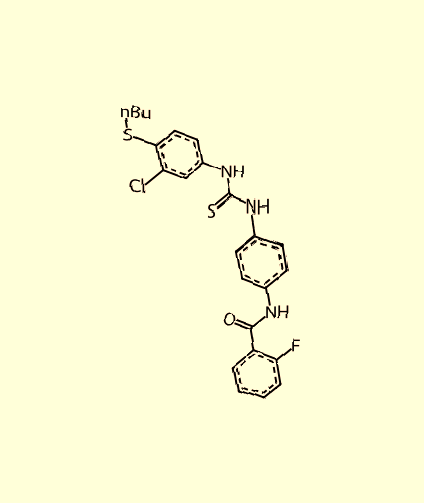 CCCCSc1ccc(NC(=S)Nc2ccc(NC(=O)c3ccccc3F)cc2)cc1Cl